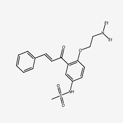 CCN(CC)CCOc1ccc(NS(C)(=O)=O)cc1C(=O)C=Cc1ccccc1